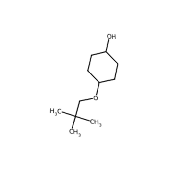 CC(C)(C)COC1CCC(O)CC1